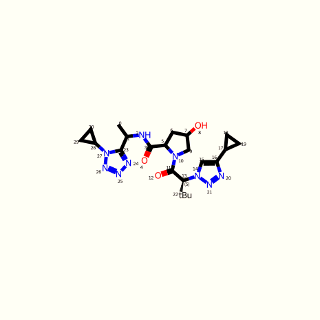 CC(NC(=O)C1CC(O)CN1C(=O)[C@@H](n1cc(C2CC2)nn1)C(C)(C)C)c1nnnn1C1CC1